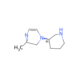 CC1=NC=CN([C@@H]2CCCNC2)C1